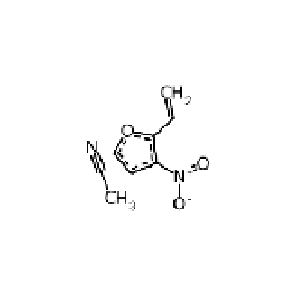 C=Cc1occc1[N+](=O)[O-].CC#N